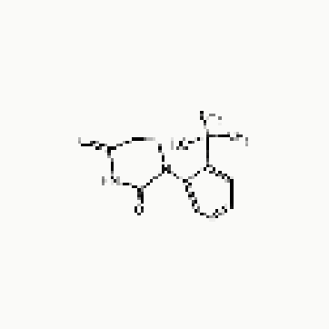 CC(C)(C)c1ccccc1N1CCC(=O)NC1=O